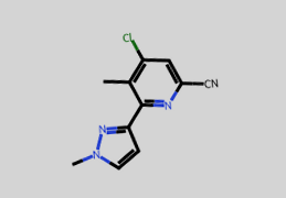 Cc1c(Cl)cc(C#N)nc1-c1ccn(C)n1